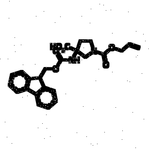 C=CCOC(=O)N1CCC(NC(=O)OCC2c3ccccc3-c3ccccc32)(C(=O)O)C1